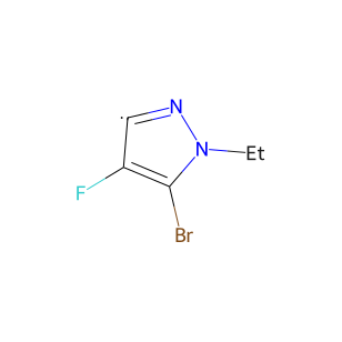 CCn1n[c]c(F)c1Br